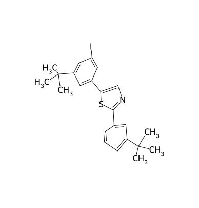 CC(C)(C)c1cc(I)cc(-c2cnc(-c3cccc(C(C)(C)C)c3)s2)c1